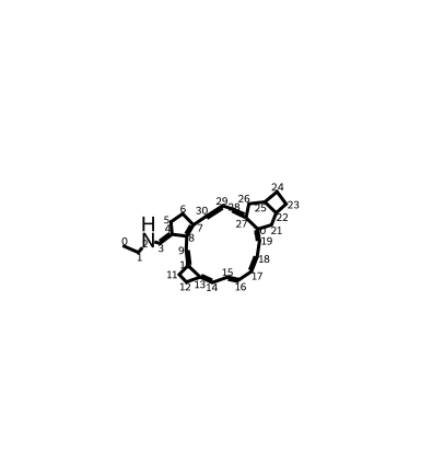 CCN/C=C1\CCC2=C1/C=C1/CC/C1=C/C=C/C=C\C=C1\CC3CCC3C\C1=C\C=C/2